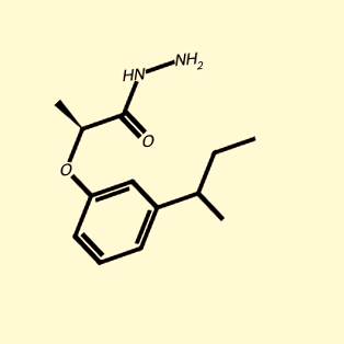 CCC(C)c1cccc(O[C@@H](C)C(=O)NN)c1